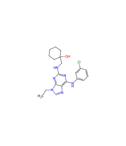 CCn1cnc2c(Nc3cccc(Cl)c3)nc(NCC3(O)CCCCC3)nc21